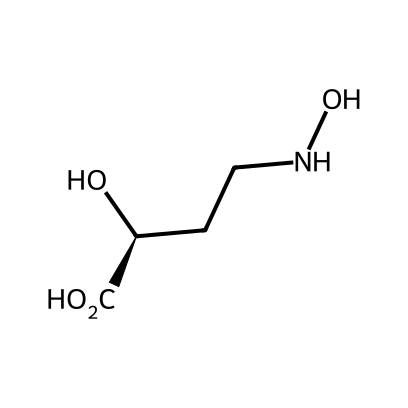 O=C(O)[C@@H](O)CCNO